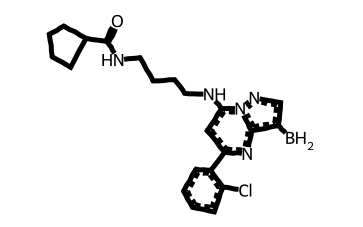 Bc1cnn2c(NCCCCNC(=O)C3CCCC3)cc(-c3ccccc3Cl)nc12